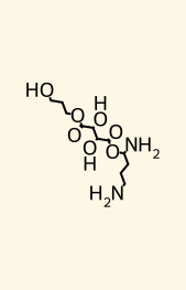 NCCCC(N)OC(=O)C(O)C(O)C(=O)OCCCO